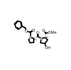 COC(=O)[C@@H]1CC(O)CN1C(=O)[C@@H]1CCCN1C(=O)OCc1ccccc1